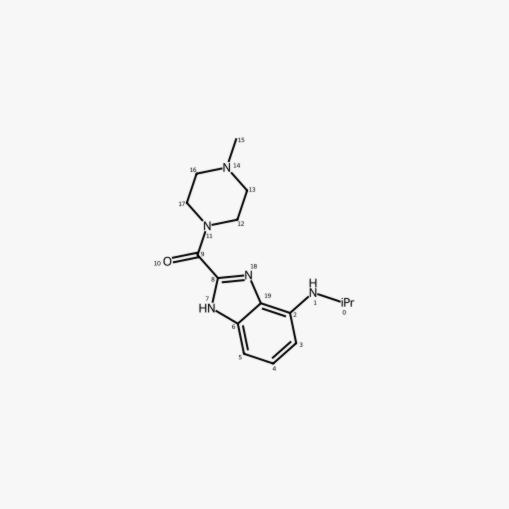 CC(C)Nc1cccc2[nH]c(C(=O)N3CCN(C)CC3)nc12